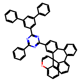 c1ccc(-c2cc(-c3ccccc3)cc(-c3nc(-c4ccccc4)nc(-c4ccc5c(c4)C4(c6ccccc6Oc6ccccc64)c4ccccc4-c4ccccc4-5)n3)c2)cc1